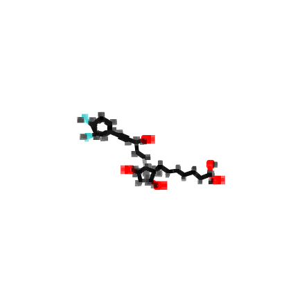 O=C(O)CCCCCC[C@@H]1[C@@H](CCC(O)C#Cc2ccc(F)c(F)c2)[C@H](O)C[C@@H]1O